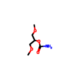 COCC(COC)OC(N)=O